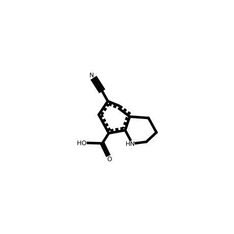 N#Cc1cc2c(c(C(=O)O)c1)NCCC2